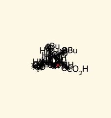 Cc1c(C)c(S(=O)(=O)NC(=N)NCCC[C@@H]2NC(=O)[C@H](CCCCNC(=O)OC(C)(C)C)NC(=O)[C@H](CCCCNC(=O)OC(C)(C)C)NC(=O)[C@H](CCCCNC(=O)CCC(=O)O)NC(=O)[C@H]3CCCN3C2=O)c(C)c2c1CC(C)(C)O2